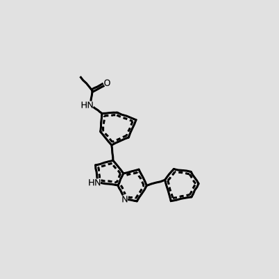 CC(=O)Nc1cccc(-c2c[nH]c3ncc(-c4ccccc4)cc23)c1